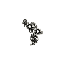 CO[C@@H]1CO[C@H]2[C@@H]1OC[C@H]2Oc1cc(F)ccc1Nc1ncnc2cc(N=S(C)(C)=O)cc(Cl)c12